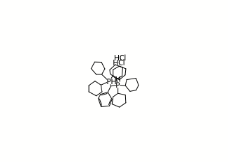 Cl.Cl.c1ccc(C([PH](C2CCCCC2)(C2CCCCC2)C2CCCCC2)[PH](C2CCCCC2)(C2CCCCC2)C2CCCCC2)cc1